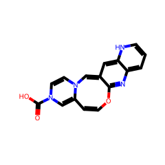 O=C(O)N1C=Cn2cc3cc4c(nc3occc2=C1)=CC=CN4